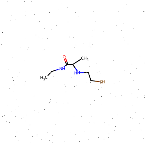 CCNC(=O)C(C)NCCS